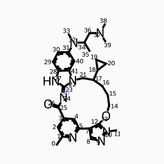 Cc1cc2cc(n1)-c1cnn(C)c1OCCCC(C1CC1)CN1/C(=N/C2=O)Nc2ccc(N(C)C(C)CN(C)C)cc21